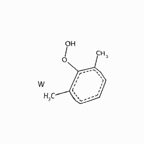 Cc1cccc(C)c1OO.[W]